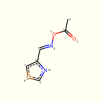 CC(=O)ON=Cc1cs[c]n1